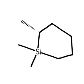 C[C@@H]1CCCC[Si]1(C)C